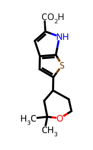 CC1(C)CC(c2cc3cc(C(=O)O)[nH]c3s2)CCO1